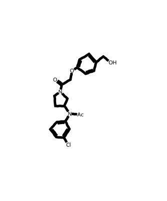 CC(=O)N(c1cccc(Cl)c1)C1CCN(C(=O)COc2ccc(CO)cc2)C1